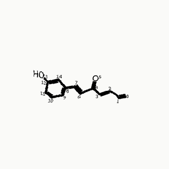 C=CC=CC(=O)C=Cc1cccc(O)c1